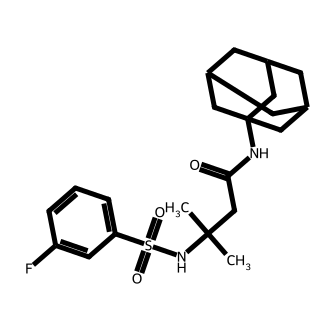 CC(C)(CC(=O)NC12CC3CC(CC(C3)C1)C2)NS(=O)(=O)c1cccc(F)c1